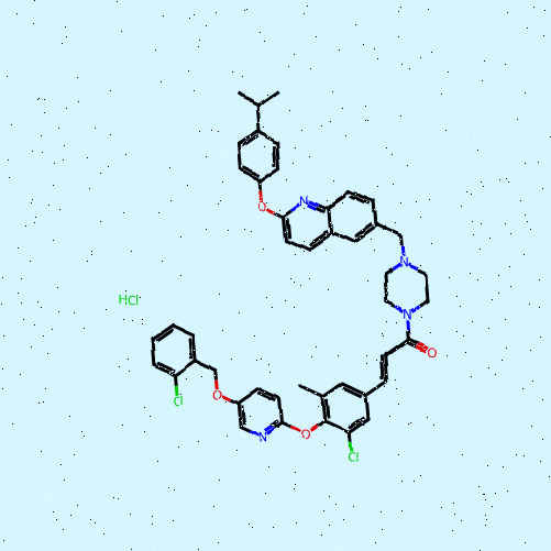 Cc1cc(/C=C/C(=O)N2CCN(Cc3ccc4nc(Oc5ccc(C(C)C)cc5)ccc4c3)CC2)cc(Cl)c1Oc1ccc(OCc2ccccc2Cl)cn1.Cl